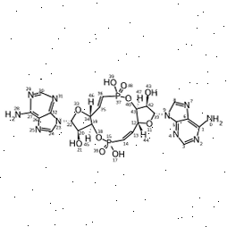 Nc1ncnc2c1ncn2[C@@H]1O[C@@H]2/C=C\P(=O)(O)O[C@H]3[C@@H](O)[C@H](n4cnc5c(N)ncnc54)O[C@@H]3/C=C/P(=O)(O)O[C@H]2[C@H]1O